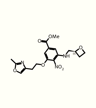 COC(=O)c1cc(NC[C@@H]2CCO2)c([N+](=O)[O-])c(OCCc2coc(C)n2)c1